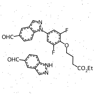 CCOC(=O)CCCOc1c(F)cc(-n2ncc3cc(C=O)ccc32)cc1F.O=Cc1ccc2[nH]ncc2c1